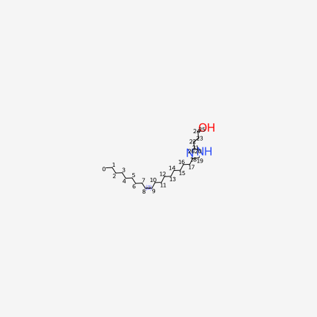 CCCCCCCC/C=C\CCCCCCCCC1CNC(CCCO)=N1